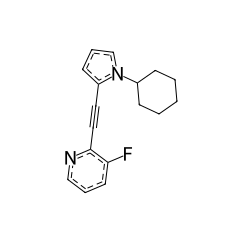 Fc1cccnc1C#Cc1cccn1C1CCCCC1